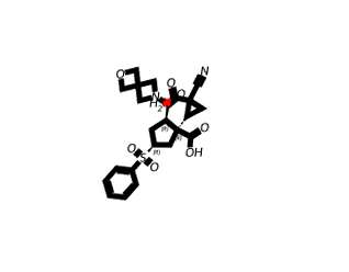 N#CC1(C(N)=O)CC1[C@]1(C(=O)O)C[C@H](S(=O)(=O)c2ccccc2)C[C@H]1C(=O)N1CC2(COC2)C1